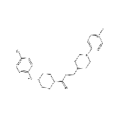 Cc1ccc(N2CCN(CCC(=O)N3CCC(Nc4ccc(Cl)cc4)CC3)CC2)cc1